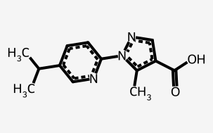 Cc1c(C(=O)O)cnn1-c1ccc(C(C)C)cn1